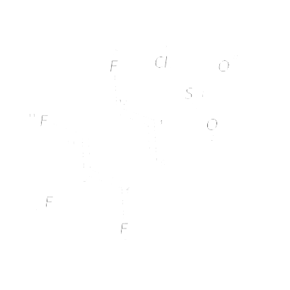 O=S(=O)(Cl)c1cc(F)c(F)c(F)c1F